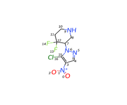 O=[N+]([O-])c1cnn(C2CNCCC2(F)F)c1Cl